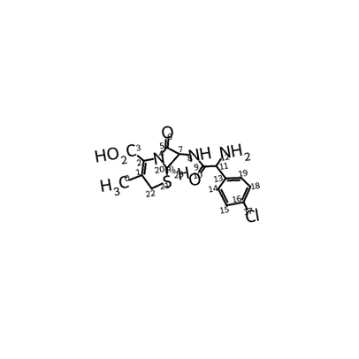 CC1=C(C(=O)O)N2C(=O)C(NC(=O)C(N)c3ccc(Cl)cc3)[C@H]2SC1